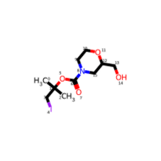 CC(C)(CI)OC(=O)N1CCOC(CO)C1